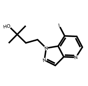 CC(C)(O)CCn1ncc2nccc(I)c21